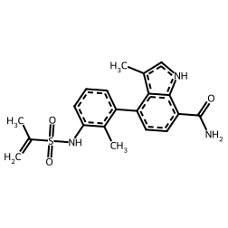 C=C(C)S(=O)(=O)Nc1cccc(-c2ccc(C(N)=O)c3[nH]cc(C)c23)c1C